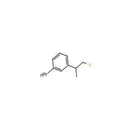 CCCc1cccc([C](C)CF)c1